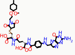 COC1(OCCN2C(=O)CC(SC[C@H](NC(=O)CC[C@H](NC(=O)c3ccc(NCc4cnc5nc(N)[nH]c(=O)c5n4)cc3)C(=O)O)C(=O)O)C2=O)CCC(C)CC1